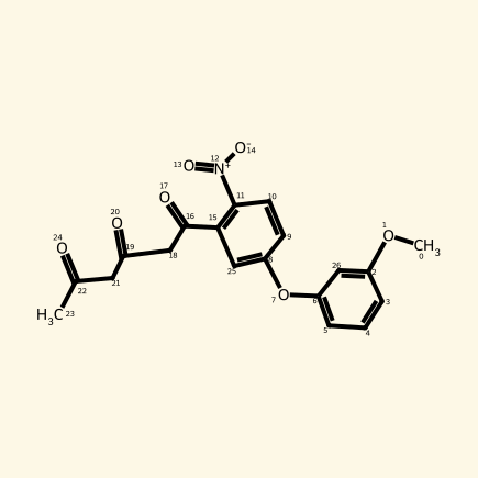 COc1cccc(Oc2ccc([N+](=O)[O-])c(C(=O)CC(=O)CC(C)=O)c2)c1